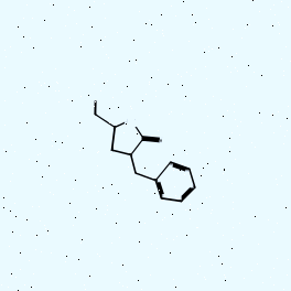 O=C1OC(CI)CC1Cc1ccccc1